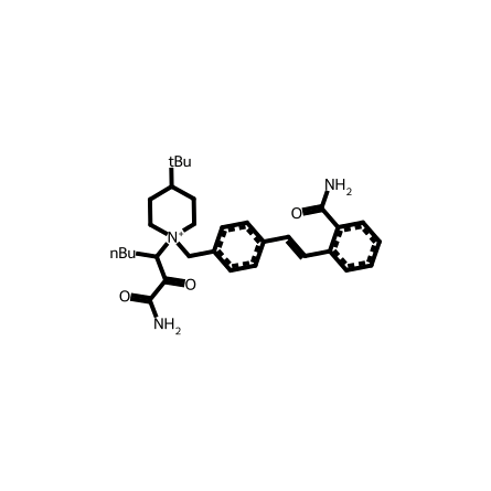 CCCCC(C(=O)C(N)=O)[N+]1(Cc2ccc(/C=C/c3ccccc3C(N)=O)cc2)CCC(C(C)(C)C)CC1